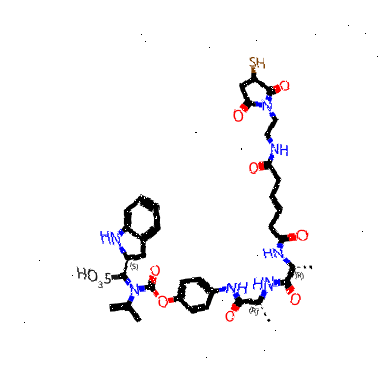 C=C(C)N(C(=O)Oc1ccc(NC(=O)[C@@H](C)NC(=O)[C@@H](C)NC(=O)CCCCC(=O)NCCN2C(=O)CC(S)C2=O)cc1)C([C@@H]1Cc2ccccc2N1)S(=O)(=O)O